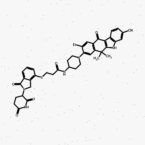 CCc1cc2c(cc1N1CCC(NC(=O)CCSc3cccc4c3CN(C3CCC(=O)NC3=O)C4=O)CC1)C(C)(C)c1[nH]c3cc(C#N)ccc3c1C2=O